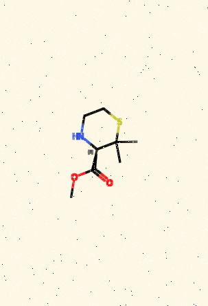 COC(=O)[C@H]1NCCSC1(C)C